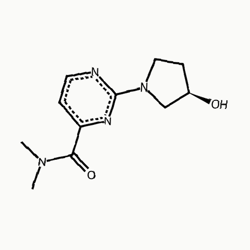 CN(C)C(=O)c1ccnc(N2CC[C@@H](O)C2)n1